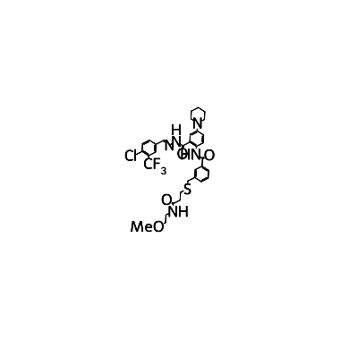 COCCNC(=O)CCSCc1cccc(C(=O)Nc2ccc(N3CCCCC3)cc2C(=O)NN=Cc2ccc(Cl)c(C(F)(F)F)c2)c1